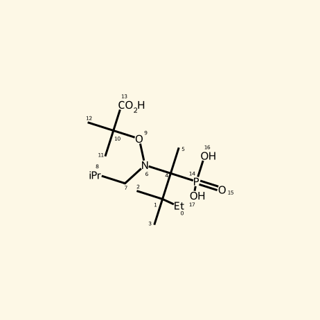 CCC(C)(C)C(C)(N(CC(C)C)OC(C)(C)C(=O)O)P(=O)(O)O